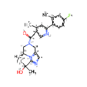 Cc1cc(-c2ccc(F)cc2C#N)ncc1C(=O)N1Cc2cnc(C(C)(O)C(F)(F)F)n2[C@@H](C)C1